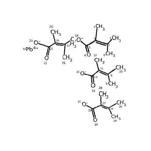 CC(C)=C(C)C(=O)[O-].CC(C)=C(C)C(=O)[O-].CC(C)=C(C)C(=O)[O-].CC(C)=C(C)C(=O)[O-].[Pb+4]